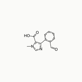 Cn1cnc(-c2ccccc2C=O)c1C(=O)O